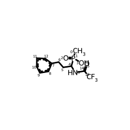 CP(=O)(O)C(CCc1ccccc1)NC(=O)C(F)(F)F